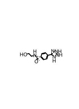 [O-][S+](NCCO)c1ccc(C2=NNNN2)cc1